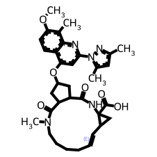 COc1ccc2c(OC3CC4C(=O)NC5(C(=O)O)CC5/C=C/CCCCN(C)C(=O)C4C3)cc(-n3nc(C)cc3C)nc2c1C